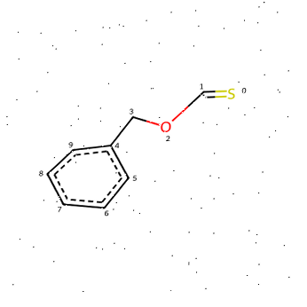 S=[C]OCc1ccccc1